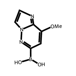 COc1cc(B(O)O)nn2ccnc12